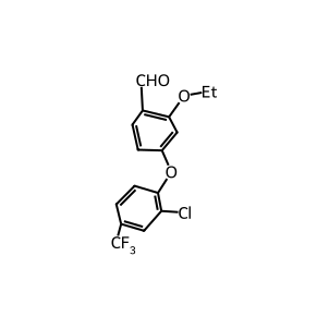 CCOc1cc(Oc2ccc(C(F)(F)F)cc2Cl)ccc1C=O